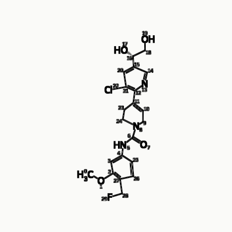 COc1cc(NC(=O)N2CC=C(c3ncc([C@H](O)CO)cc3Cl)CC2)ccc1CF